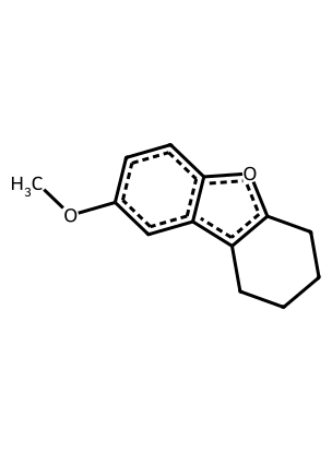 COc1ccc2oc3c(c2c1)CCCC3